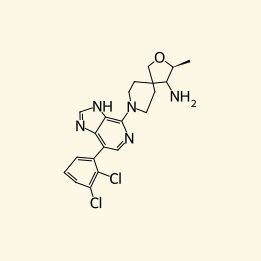 C[C@@H]1OCC2(CCN(c3ncc(-c4cccc(Cl)c4Cl)c4nc[nH]c34)CC2)C1N